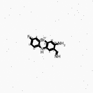 N=Cc1cc(Nc2ccc(F)cc2)c(Br)cc1N